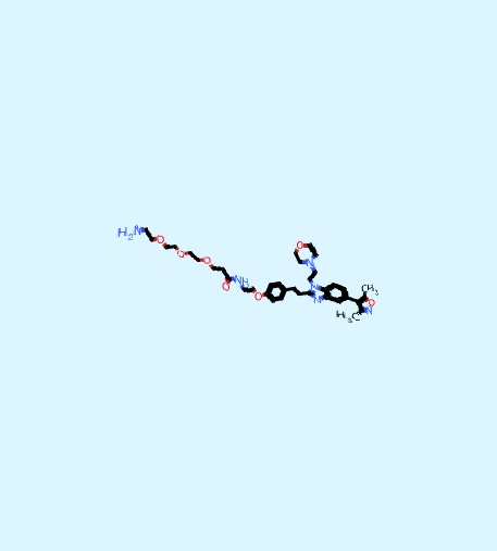 Cc1noc(C)c1-c1ccc2c(c1)nc(CCc1ccc(OCCNC(=O)CCOCCOCCOCCN)cc1)n2CCN1CCOCC1